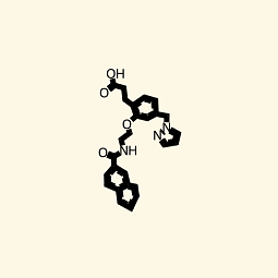 O=C(O)CCc1ccc(Cn2cccn2)cc1OCCNC(=O)c1ccc2ccccc2c1